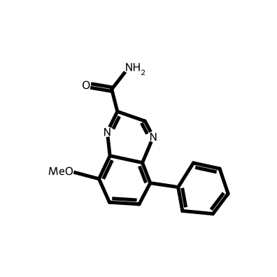 COc1ccc(-c2ccccc2)c2ncc(C(N)=O)nc12